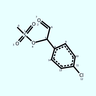 CS(=O)(=O)OC(C=O)c1ccc(Cl)cc1